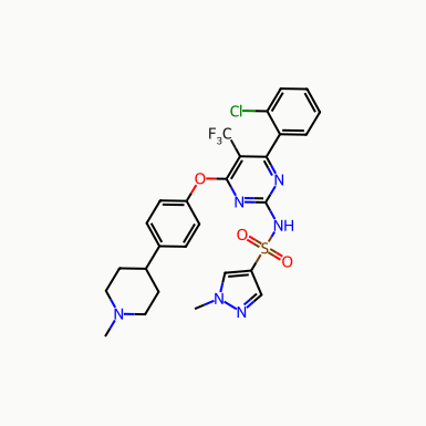 CN1CCC(c2ccc(Oc3nc(NS(=O)(=O)c4cnn(C)c4)nc(-c4ccccc4Cl)c3C(F)(F)F)cc2)CC1